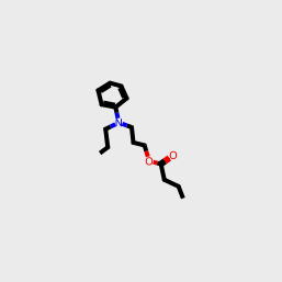 CCCC(=O)OCCCN(CCC)c1ccccc1